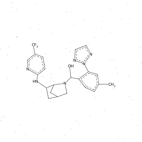 Cc1ccc(C(O)N2CC3CC(Nc4ccc(C(F)(F)F)cn4)C2C3)c(-n2nccn2)c1